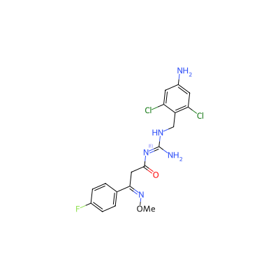 CON=C(CC(=O)/N=C(\N)NCc1c(Cl)cc(N)cc1Cl)c1ccc(F)cc1